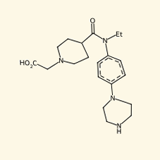 CCN(C(=O)C1CCN(CC(=O)O)CC1)c1ccc(N2CCNCC2)cc1